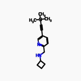 C[Si](C)(C)C#Cc1ccc(CNC2CCC2)nc1